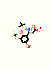 COC(=O)C[C@H](N[S@+]([O-])C(C)(C)C)c1cc(Br)cc(OC(F)(F)F)c1